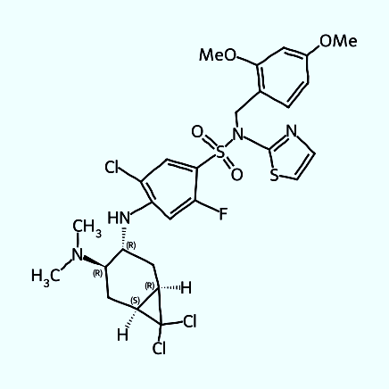 COc1ccc(CN(c2nccs2)S(=O)(=O)c2cc(Cl)c(N[C@@H]3C[C@@H]4[C@H](C[C@H]3N(C)C)C4(Cl)Cl)cc2F)c(OC)c1